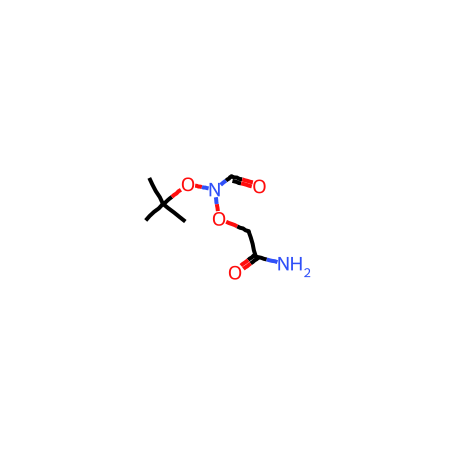 CC(C)(C)ON(C=O)OCC(N)=O